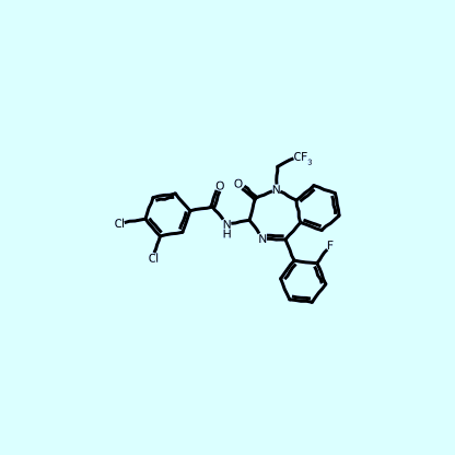 O=C(NC1N=C(c2ccccc2F)c2ccccc2N(CC(F)(F)F)C1=O)c1ccc(Cl)c(Cl)c1